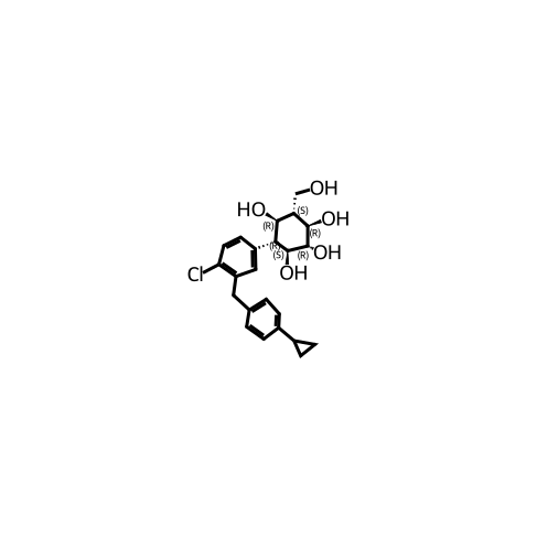 OC[C@@H]1[C@@H](O)[C@H](O)[C@@H](O)[C@H](c2ccc(Cl)c(Cc3ccc(C4CC4)cc3)c2)[C@H]1O